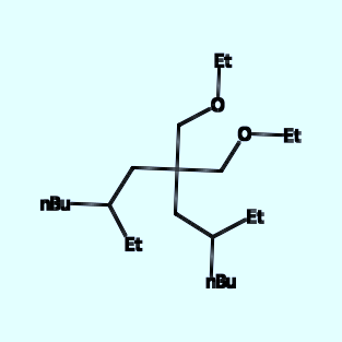 CCCCC(CC)CC(COCC)(COCC)CC(CC)CCCC